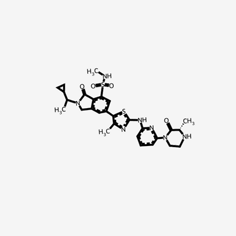 CNS(=O)(=O)c1cc(-c2sc(Nc3cccc(N4CCN[C@@H](C)C4=O)n3)nc2C)cc2c1C(=O)N(C(C)C1CC1)C2